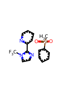 CS(=O)(=O)c1ccccc1.FC(F)(F)n1ccnc1-c1ccccn1